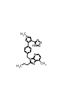 CCCc1nc2c(C)ccnc2n1Cc1ccc(-c2cn(C)cc2-c2nnn[nH]2)cc1